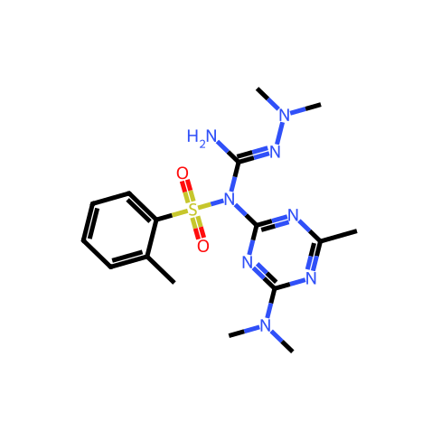 Cc1nc(N(C)C)nc(N(C(N)=NN(C)C)S(=O)(=O)c2ccccc2C)n1